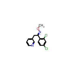 CO/N=C(\Cc1cccnc1)c1ccc(Cl)cc1Cl